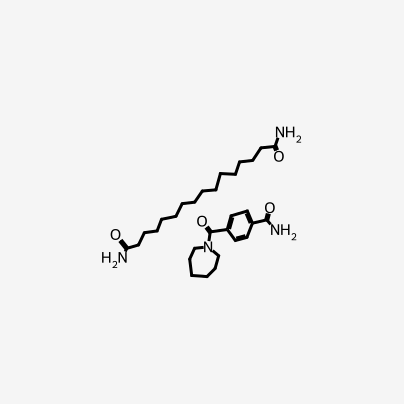 NC(=O)CCCCCCCCCCCCCCC(N)=O.NC(=O)c1ccc(C(=O)N2CCCCCC2)cc1